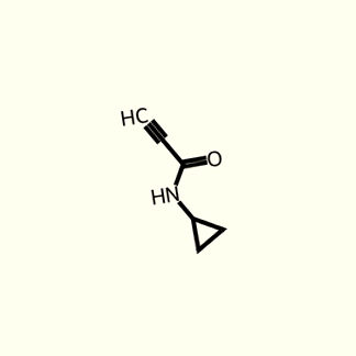 C#CC(=O)NC1CC1